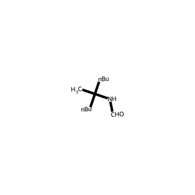 CCCCC(C)(CCCC)NC=O